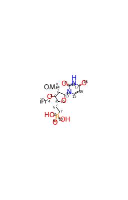 CO[C@H]1C(OC(C)C)[C@@H](CCP(=O)(O)O)O[C@H]1n1ccc(=O)[nH]c1=O